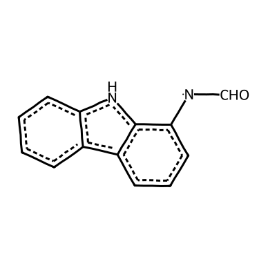 O=C[N]c1cccc2c1[nH]c1ccccc12